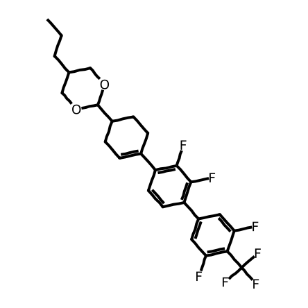 CCCC1COC(C2CC=C(c3ccc(-c4cc(F)c(C(F)(F)F)c(F)c4)c(F)c3F)CC2)OC1